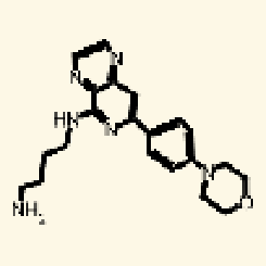 NCCCCNc1nc(-c2ccc(N3CCOCC3)cc2)cc2nccnc12